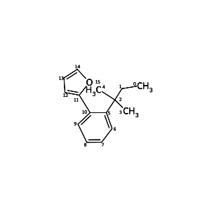 CCC(C)(C)c1ccccc1-c1ccco1